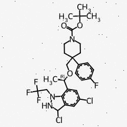 C[C@@H](OCC1(c2ccc(F)cc2)CCN(C(=O)OC(C)(C)C)CC1)c1cc(Cl)cc2c1N(CC(F)(F)F)NC2Cl